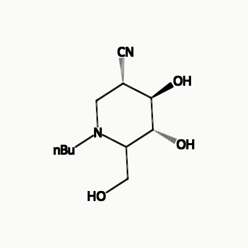 CCCCN1C[C@H](C#N)[C@@H](O)[C@H](O)C1CO